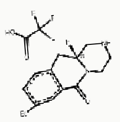 CCc1ccc2c(c1)C(=O)N1CCNC[C@H]1C2.O=C(O)C(F)(F)F